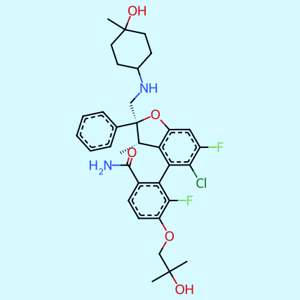 C[C@H]1c2c(cc(F)c(Cl)c2-c2c(C(N)=O)ccc(OCC(C)(C)O)c2F)O[C@]1(CNC1CCC(C)(O)CC1)c1ccccc1